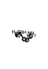 CC(O)(C#Cc1ccc2c(c1)N(c1ccnc(N)n1)CC2)c1ncco1